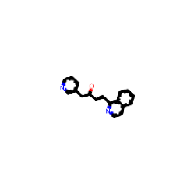 O=C(C=Cc1nccc2ccccc12)Cc1cccnc1